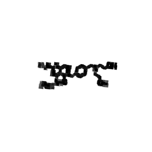 CCC[C@@H](C)Nc1nc(N)nc2cnn(Cc3ccc(CN(CCO)CCO)cc3)c(=O)c12